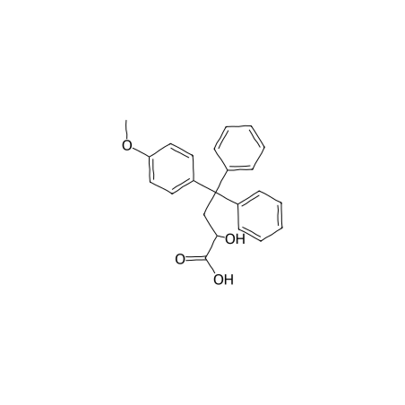 COc1ccc(C(CC(O)C(=O)O)(c2ccccc2)c2ccccc2)cc1